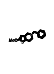 COc1cc2c(s1)CCN(Cc1ccccc1)C2